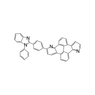 c1ccc(-n2c(-c3ccc(-c4ccc5c6cccc7c8ncccc8c8cccc(c5n4)c8c67)cc3)nc3ccccc32)cc1